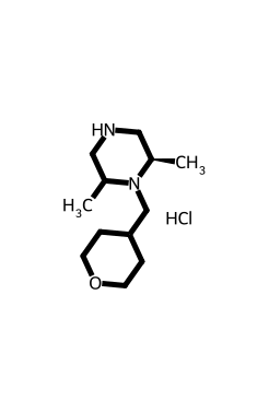 CC1CNC[C@@H](C)N1CC1CCOCC1.Cl